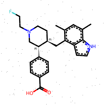 Cc1cc(C)c2[nH]ccc2c1C[C@@H]1CCN(CCF)C[C@H]1c1ccc(C(=O)O)cc1